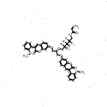 C=CC(=O)OCC(F)(F)C(F)(F)C(F)(F)COC(COc1ccc2cc(-c3ccccc3OC)c(=O)oc2c1)COc1ccc2cc(-c3ccccc3OC)c(=O)oc2c1